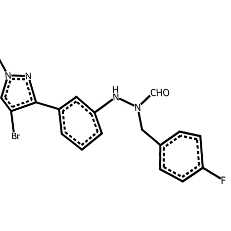 Cn1cc(Br)c(-c2cccc(NN(C=O)Cc3ccc(F)cc3)c2)n1